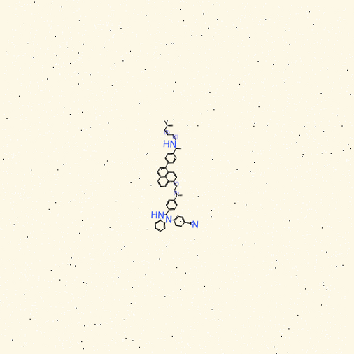 C=C(C)/C=C\C=C/NC(C)c1ccc(-c2ccc3cccc4/c(=C\C=C(/C)c5ccc(C6Nc7ccccc7N6c6ccc(C#N)cc6)cc5)ccc2c34)cc1